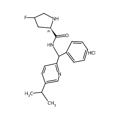 CC(C)c1ccc(C(NC(=O)[C@H]2CC(F)CN2)c2ccccc2)nc1.Cl